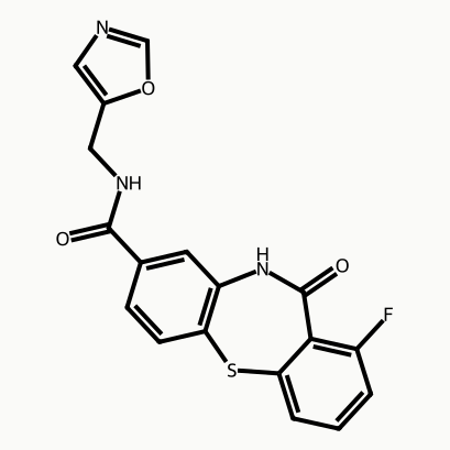 O=C(NCc1cnco1)c1ccc2c(c1)NC(=O)c1c(F)cccc1S2